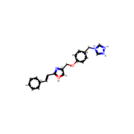 C(=C\c1nc(COc2ccc(Cn3cnnc3)cc2)co1)/c1ccccc1